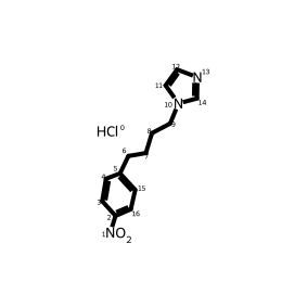 Cl.O=[N+]([O-])c1ccc(CCCCn2ccnc2)cc1